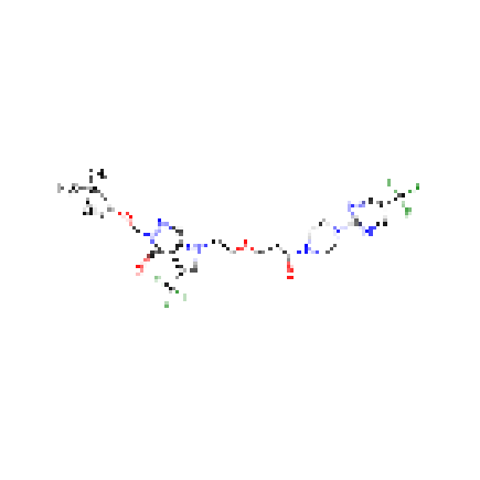 C[Si](C)(C)CCOCn1ncc2c(c(C(F)(F)F)cn2CCOCCC(=O)N2CCN(c3ncc(C(F)(F)F)cn3)CC2)c1=O